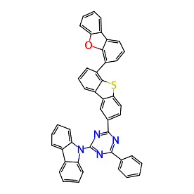 c1ccc(-c2nc(-c3ccc4sc5c(-c6cccc7c6oc6ccccc67)cccc5c4c3)nc(-n3c4ccccc4c4ccccc43)n2)cc1